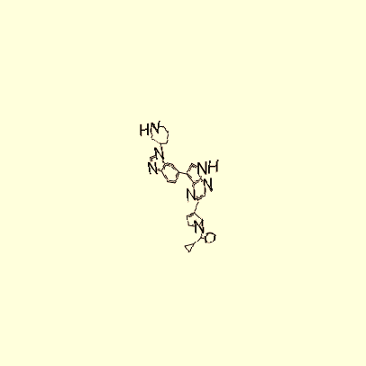 O=C(C1CC1)N1CC=C(c2cnc3[nH]cc(-c4ccc5ncn(C6CCCNC6)c5c4)c3n2)C1